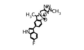 CC1c2cc(-c3c[nH]c4cc(F)ccc34)ccc2S(=O)(=O)N1Cc1nnn(C)n1